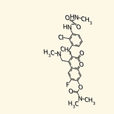 CNS(=O)(=O)Nc1cccc(Cc2c(CN(C)C)c3cc(F)c(OC(=O)N(C)C)cc3oc2=O)c1Cl